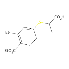 CCOC(=O)C1=C(CC)C=C(SC(C)C(=O)O)CC1